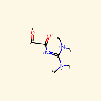 CN(C)C(=NC(=O)C=O)N(C)C